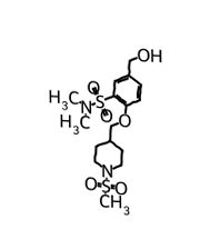 CN(C)S(=O)(=O)c1cc(CO)ccc1OCC1CCN(S(C)(=O)=O)CC1